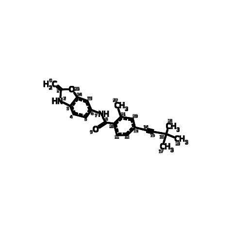 C=C1Nc2ccc(NC(=O)c3ccc(C#CC(C)(C)C)cc3C)cc2O1